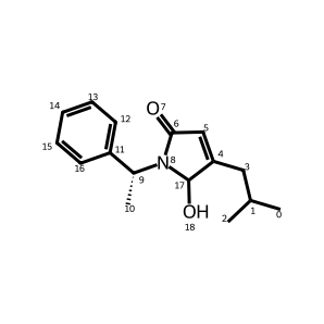 CC(C)CC1=CC(=O)N([C@H](C)c2ccccc2)C1O